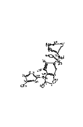 O=C1COc2cc(S(=O)(=O)Nc3nncs3)ccc2N1c1cccc(Cl)c1